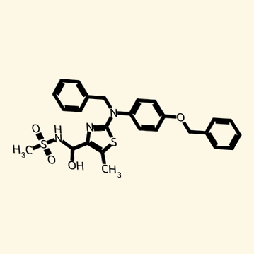 Cc1sc(N(Cc2ccccc2)c2ccc(OCc3ccccc3)cc2)nc1C(O)NS(C)(=O)=O